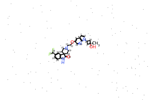 C[C@]1(O)C[C@@H](n2ccc3cc(OCCN4CCC5(CC4)C(=O)Nc4ccc(C(F)F)cc45)cnc32)C1